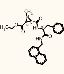 CCOC(=O)[C@@H]1[C@@H](C(=O)N[C@@H](Cc2ccccc2)C(=O)NCc2cccc3ccccc23)N1C